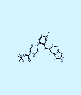 CCC(Cc1cc(Cl)ccc1C1CCN(C(=O)OC(C)(C)C)CC1)CN1CC[C@@H](F)C1